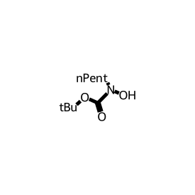 CCCCCN(O)C(=O)OC(C)(C)C